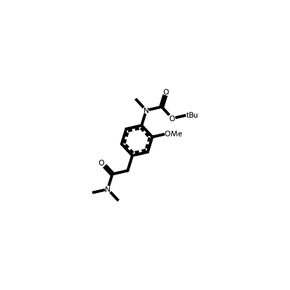 COc1cc(CC(=O)N(C)C)ccc1N(C)C(=O)OC(C)(C)C